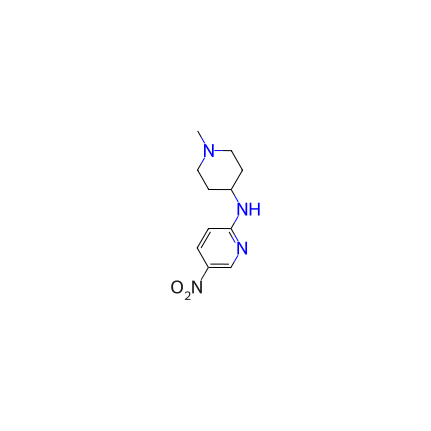 CN1CCC(Nc2ccc([N+](=O)[O-])cn2)CC1